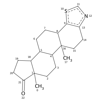 CC12CCC3C(CCC4c5scnc5CCC43C)C1CCC2=O